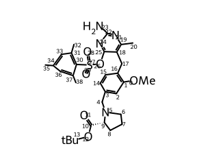 COc1cc(CN2CCC[C@@H]2C(=O)OC(C)(C)C)ccc1Cc1c(C)nc(N)nc1OS(=O)(=O)c1c(C)cc(C)cc1C